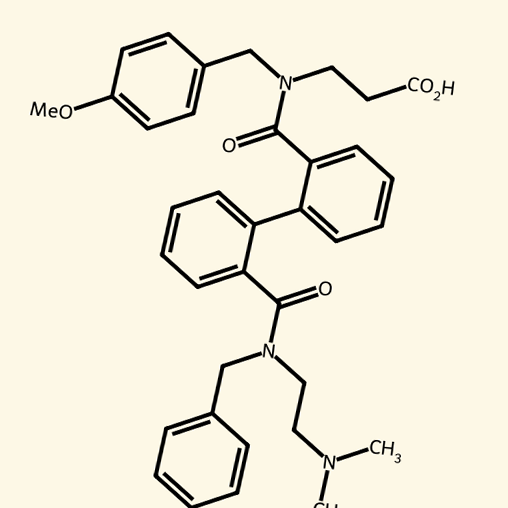 COc1ccc(CN(CCC(=O)O)C(=O)c2ccccc2-c2ccccc2C(=O)N(CCN(C)C)Cc2ccccc2)cc1